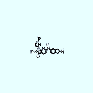 CC(C)n1c(=O)c2ccc(Nc3ccc4c(c3)CC(N(C)C)C4)nc2n1-c1ccn(C2CC2)n1